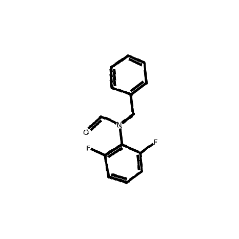 O=[C]N(Cc1ccccc1)c1c(F)cccc1F